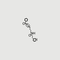 O=C(CCc1cccnc1)NCCCCN1CCN(C(=O)c2ccccc2)CC1